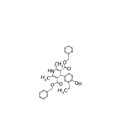 CCc1cc(C2C(C(=O)OCc3ccccc3)=C(C)NC(C)=C2C(=O)OCc2ccccc2)ccc1O